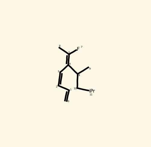 C=C/C=C\C(=C(/C)F)C(C)CC(C)C